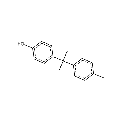 Cc1ccc(C(C)(C)c2ccc(O)cc2)cc1